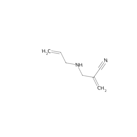 C=CCNCC(=C)C#N